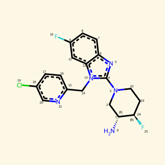 N[C@@H]1CN(c2nc3ccc(F)cc3n2Cc2ccc(Cl)cn2)CC[C@H]1F